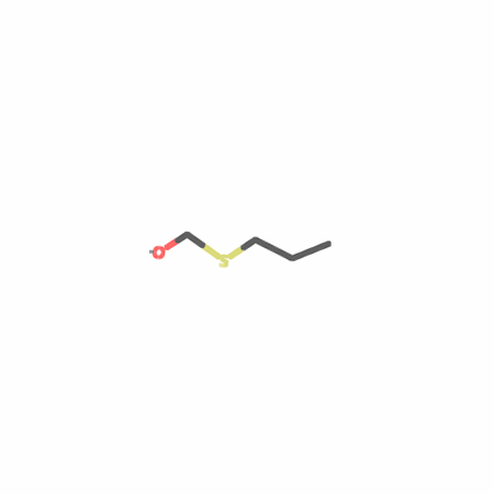 CCCSC[O]